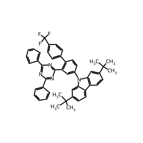 CC(C)(C)c1ccc2c3ccc(C(C)(C)C)cc3n(-c3ccc(-c4ccc(C(F)(F)F)cc4)c(-c4nc(-c5ccccc5)nc(-c5ccccc5)n4)c3)c2c1